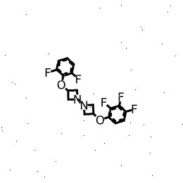 Fc1ccc(OC2CN(N3CC(Oc4c(F)cccc4F)C3)C2)c(F)c1F